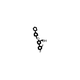 OCc1cc(-c2ccc(F)cc2F)ccc1OCc1ccc(C2CCCCC2)cc1